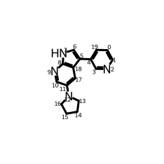 c1cncc(-c2c[nH]c3ncc(N4CCCC4)cc23)c1